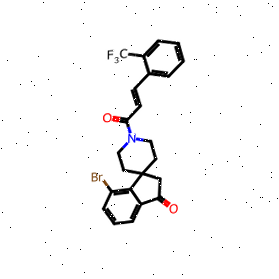 O=C1CC2(CCN(C(=O)C=Cc3ccccc3C(F)(F)F)CC2)c2c(Br)cccc21